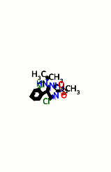 C=C(/N=C(Cl)\C(=C(/N)NC(C)C)c1ccccc1Cl)S(C)(=O)=O